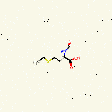 CCSCC[C@H](NC=O)C(=O)O